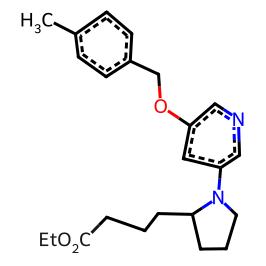 CCOC(=O)CCCC1CCCN1c1cncc(OCc2ccc(C)cc2)c1